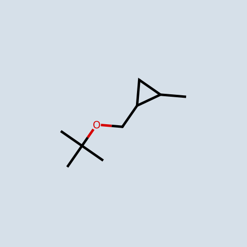 CC1CC1COC(C)(C)C